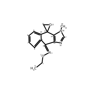 CCO/N=C1\c2ccccc2C2(CO2)c2c1ncn2C